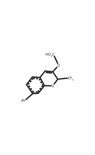 CC(C)c1ccc2c(c1)OC(C(F)(F)F)C(OC(=O)O)=C2